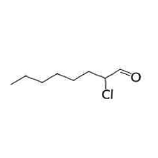 CCCCCCC(Cl)C=O